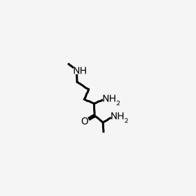 CNCCCC(N)C(=O)C(C)N